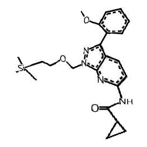 COc1ccccc1-c1nn(COCC[Si](C)(C)C)c2nc(NC(=O)C3CC3)ccc12